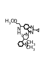 COCCC(N)c1ccc2nc(C3CC3)nc(N3CCC(c4ccccc4N(C)C)CC3)c2c1